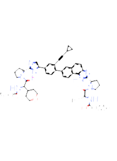 COC(=O)NC(C(=O)N1CCC[C@H]1c1ncc(-c2ccc(-c3ccc4c(ccc5nc([C@@H]6CCCN6C(=O)[C@@H](NC(=O)OC)C(C)C)[nH]c54)c3)c(C#CC3CC3)c2)[nH]1)C1CCOCC1